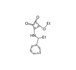 CCOc1c(NC(CC)c2ccccc2)c(=O)c1=O